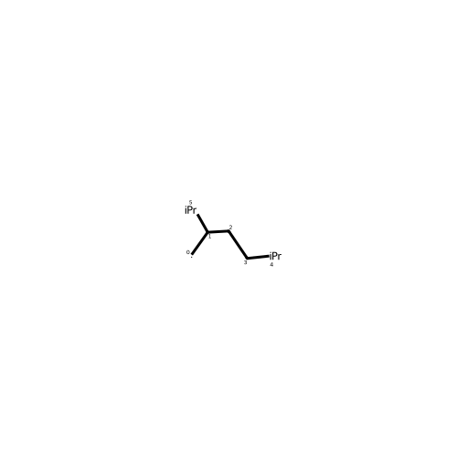 [CH2]C(CCC(C)C)C(C)C